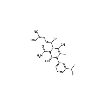 C=C/C(C#N)=C\C=C(/Br)C1C(C#N)=C(C)N(c2cccc(C(F)F)c2)C(=N)N1C(N)=O